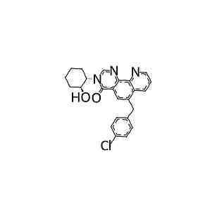 O=c1c2cc(Cc3ccc(Cl)cc3)c3cccnc3c2ncn1[C@H]1CCCC[C@@H]1O